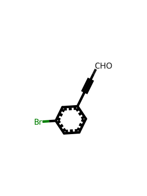 O=CC#Cc1cccc(Br)c1